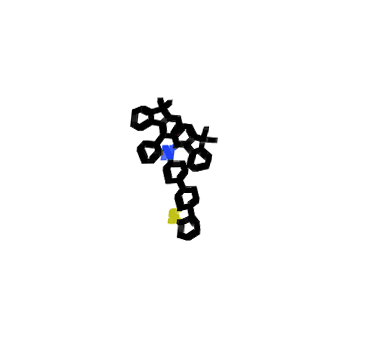 CC1(C)c2ccccc2-c2c(-c3ccccc3N(c3ccc(-c4ccc5c(c4)sc4ccccc45)cc3)c3cccc4c3-c3ccccc3C4(C)C)cccc21